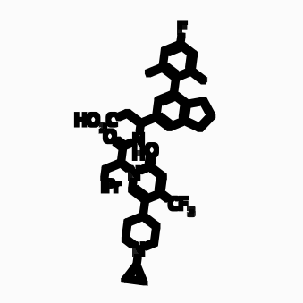 Cc1cc(F)cc(C)c1-c1cc(C(CC(=O)O)NC(=O)C(CC(C)C)n2cc(C3CCN(C4CC4)CC3)c(C(F)(F)F)cc2=O)cc2c1CCC2